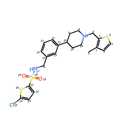 Cc1ccsc1CN1CCC(c2cccc(CNS(=O)(=O)c3ccc(Cl)s3)c2)CC1